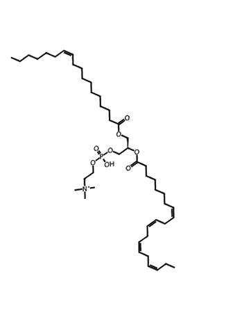 CC/C=C\C/C=C\C/C=C\C/C=C\CCCCCCC(=O)O[C@H](COC(=O)CCCCCCCCC/C=C\CCCCCC)COP(=O)(O)OCC[N+](C)(C)C